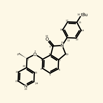 C[C@H](Oc1cccc2c1C(=O)N(c1ccc(C(C)(C)C)cc1)C2)c1ccncc1